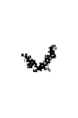 C=CC(=O)Nc1ccc(CCn2c(C#N)cc3c(C)c(CN4CCC(Nc5ncnc6sc(CC(F)(F)F)cc56)CC4)ccc32)cc1CO